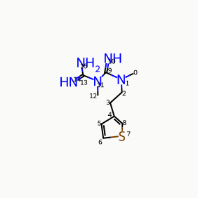 CN(CCc1ccsc1)C(=N)N(C)C(=N)N